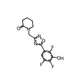 O=C1CCCCN1Cc1noc(-c2cc(F)c(F)c(O)c2F)n1